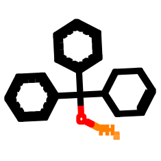 POC(c1ccccc1)(c1ccccc1)C1CC=CCC1